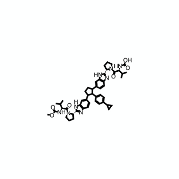 COC(=O)N[C@H](C(=O)N1CCC[C@H]1c1nc2ccc(C3CCC(c4ccc5nc([C@@H]6CCCN6C(=O)[C@@H](NC(=O)O)C(C)C)[nH]c5c4)C3c3ccc(C4CC4)cc3)cc2[nH]1)C(C)C